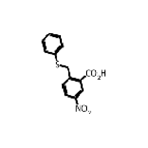 O=C(O)c1cc([N+](=O)[O-])ccc1CSc1ccccc1